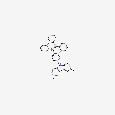 Cc1ccc2c(c1)c1cc(C)ccc1n2-c1ccc2c(c1)-c1ccccc1B1c3ccccc3-c3ccccc3N12